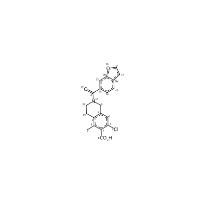 Cc1c2c(cc(Cl)c1C(=O)O)CN(C(=O)c1ccc3ccoc3c1)CC2